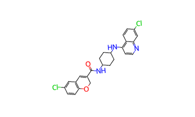 O=C(NC1CCC(Nc2ccnc3cc(Cl)ccc23)CC1)C1=Cc2cc(Cl)ccc2OC1